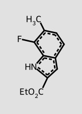 CCOC(=O)c1cc2ccc(C)c(F)c2[nH]1